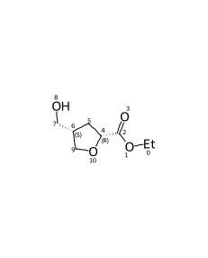 CCOC(=O)[C@H]1C[C@@H](CO)CO1